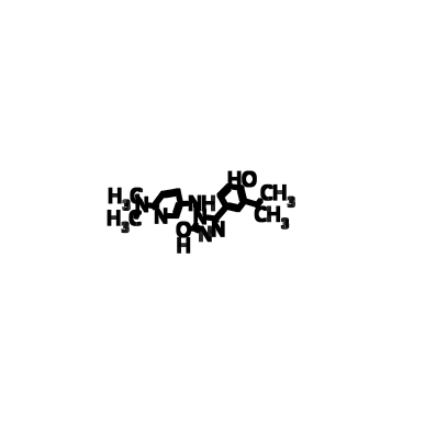 CC(C)c1cc(-c2nnc(O)n2Nc2ccc(N(C)C)nc2)ccc1O